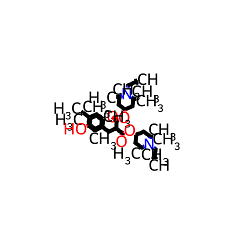 C#CCN1C(C)(C)CC(OC(=O)C(Cc2c(C)cc(C(C)(C)C)c(O)c2C)C(=O)OC2CC(C)(C)N(CC#C)C(C)(C)C2)CC1(C)C